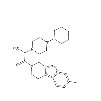 CC(C(=O)N1CCn2c(cc3cc(F)ccc32)C1)N1CCN(C2CCCCC2)CC1